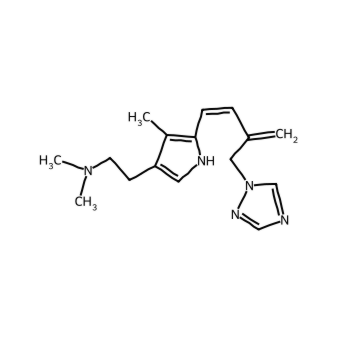 C=C(/C=C\c1[nH]cc(CCN(C)C)c1C)Cn1cncn1